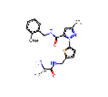 COc1ccccc1CNC(=O)c1cc(C(F)(F)F)nn1-c1ccc(CNC(=O)[C@H](C)N)s1